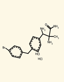 CC(N)(C(N)=O)C(N)c1ccc(Cc2ccc(Br)cc2)cc1.Cl.Cl